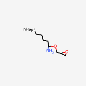 CCCCCCCCCCCC(N)OCC1CO1